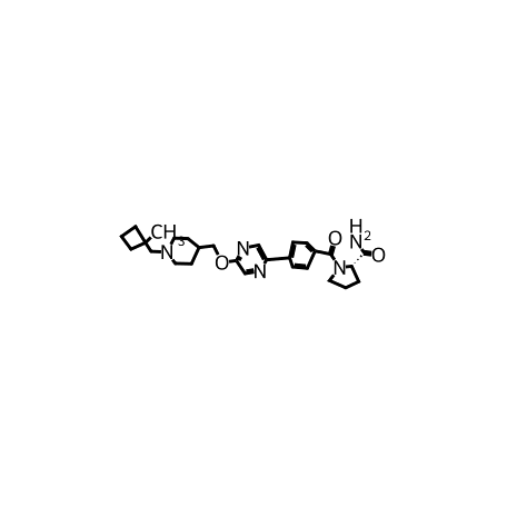 CC1(CN2CCC(COc3cnc(-c4ccc(C(=O)N5CCC[C@H]5C(N)=O)cc4)cn3)CC2)CCC1